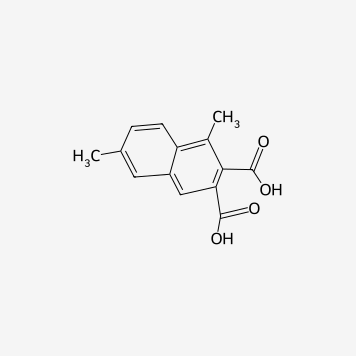 Cc1ccc2c(C)c(C(=O)O)c(C(=O)O)cc2c1